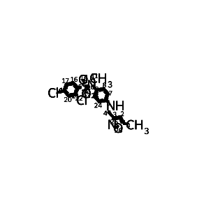 Cc1cc(CNc2ccc(N(C)S(=O)(=O)c3ccc(Cl)cc3Cl)cc2)no1